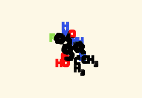 CCN(C)Cc1ccc(N/C(=C2\C(=O)Nc3cc(F)ccc32)c2cccc(CCC(=O)O)c2)cc1